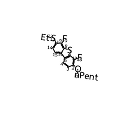 CCCCCOc1ccc2c(sc3c(F)c(SCC)ccc32)c1F